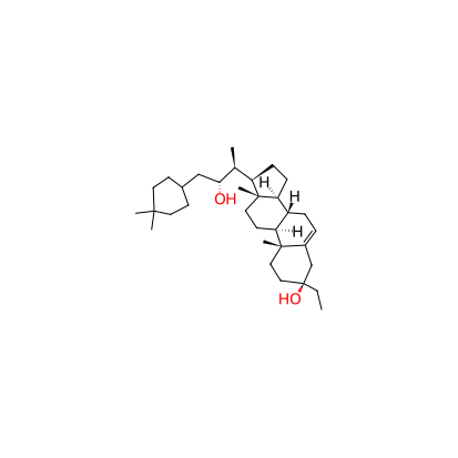 CC[C@]1(O)CC[C@@]2(C)C(=CC[C@H]3[C@@H]4CC[C@H]([C@H](C)[C@H](O)CC5CCC(C)(C)CC5)[C@@]4(C)CC[C@@H]32)C1